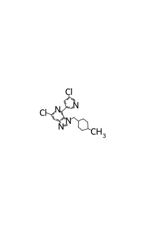 CC1CCC(Cn2cnc3cc(Cl)nc(-c4cncc(Cl)c4)c32)CC1